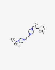 CC(C)CC1(CN2CCN(CCCN3CCN(C(C)C)CC3)CC2)CC1